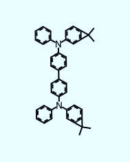 CC1(C)c2ccc(N(c3ccccc3)c3ccc(-c4ccc(N(c5ccccc5)c5ccc6c(c5)C6(C)C)cc4)cc3)cc21